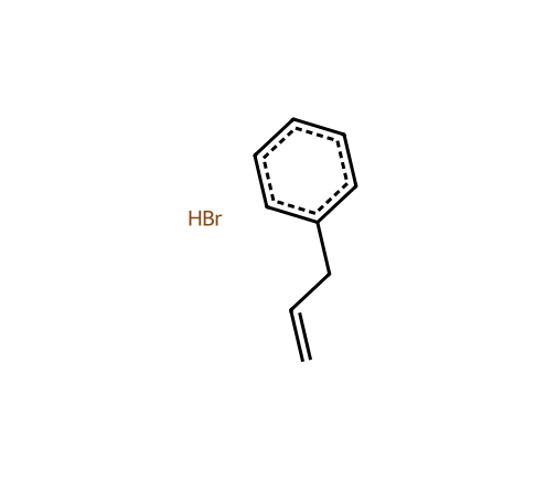 Br.C=CCc1ccccc1